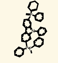 C=P(C1=CCCC=C1)(c1ccccc1)c1ccc2c3ccc(P(c4ccccc4)P(C)c4ccccc4)cc3n(-c3ccccc3)c2c1